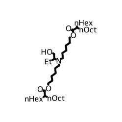 CCCCCCCCC(CCCCCC)C(=O)OCCCCCCN(CCCCCCOC(=O)C(CCCCCC)CCCCCCCC)C(CC)CO